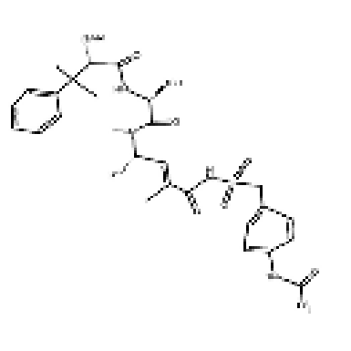 CN[C@H](C(=O)N[C@H](C(=O)N(C)[C@H](C=C(C)C(=O)NS(=O)(=O)Cc1ccc(NC(=O)C(F)(F)F)cc1)C(C)C)C(C)(C)C)C(C)(C)c1ccccc1